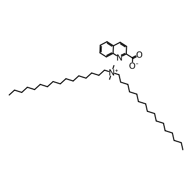 CCCCCCCCCCCCCCCC[N+](C)(C)CCCCCCCCCCCCCCCC.O=C([O-])c1ccc2ccccc2n1